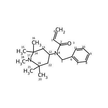 C=CC(=O)N(Cc1ccccc1)C1CC(C)(C)N(C)C(C)(C)C1